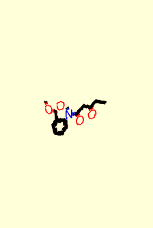 CCC(=O)CC(=O)N(C)c1ccccc1C(=O)OC